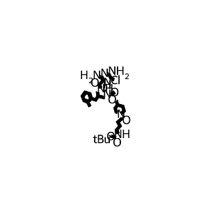 Cc1ccccc1CC(CNC(=O)OCC1CCN(C(=O)CCCNC(=O)OC(C)(C)C)CC1)CNC(=O)c1nc(Cl)c(N)nc1N